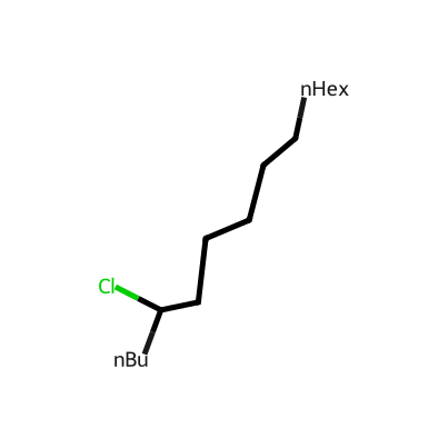 CCCCCCCCCCCC(Cl)CCCC